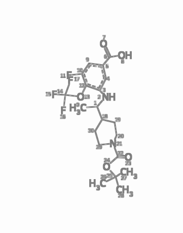 CC(Nc1cc(C(=O)O)cc(F)c1OC(F)(F)F)C1CCN(C(=O)OC(C)(C)C)CC1